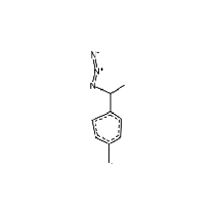 [CH2]c1ccc(C(C)N=[N+]=[N-])cc1